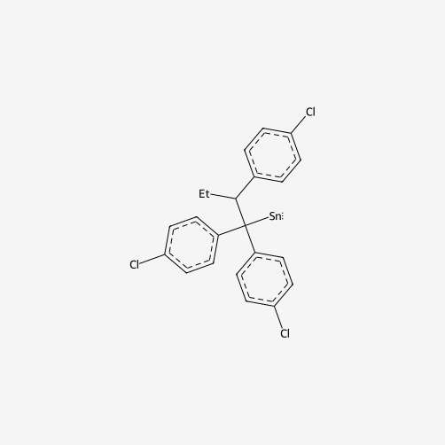 CCC(c1ccc(Cl)cc1)[C]([Sn])(c1ccc(Cl)cc1)c1ccc(Cl)cc1